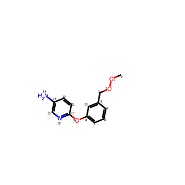 COOCc1cccc(Oc2ccc(N)cn2)c1